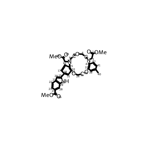 COC(=O)CN1CCOCCN(CC(=O)OC)c2ccc(-c3cc4ccc(C(=O)OC)cc4[nH]3)cc2OCCOc2cc(C)ccc21